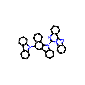 c1ccc2c(c1)nc(-n1c3ccccc3c3cc(-n4c5ccccc5c5ccccc54)c4ccccc4c31)n1c3ccccc3nc21